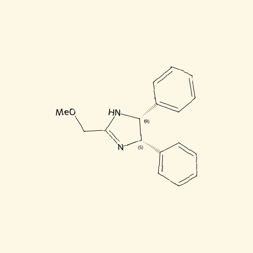 COCC1=N[C@@H](c2ccccc2)[C@@H](c2ccccc2)N1